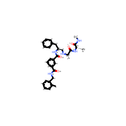 CCNC(=O)[C@@H](NC(=O)[C@H](C)NC[C@H](Cc1ccccc1)NC(=O)c1cccc(C(=O)NCc2ccccc2C)c1)C(C)C